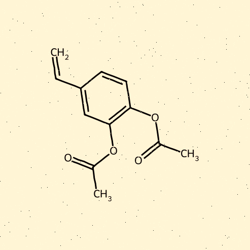 C=Cc1ccc(OC(C)=O)c(OC(C)=O)c1